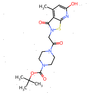 Cc1cc(O)nc2sn(CC(=O)N3CCN(C(=O)OC(C)(C)C)CC3)c(=O)c12